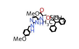 COC(=O)[C@@H](CO[SiH2]C(C)(C)C(c1ccccc1)c1ccccc1)Nc1ccnc(NCc2ccc(OC)cc2)n1